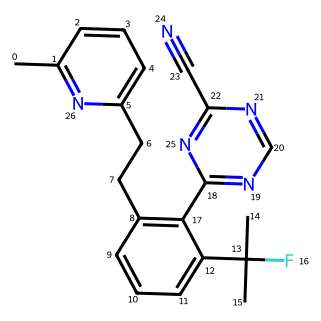 Cc1cccc(CCc2cccc(C(C)(C)F)c2-c2ncnc(C#N)n2)n1